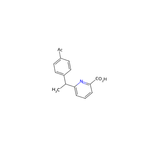 CC(=O)c1ccc(C(C)c2cccc(C(=O)O)n2)cc1